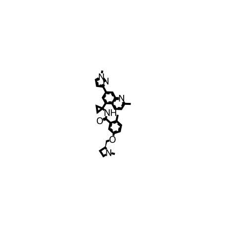 Cc1ccc2c(C3(NC(=O)c4cc(OC[C@@H]5CCN5C)ccc4C)CC3)cc(-c3ccn(C)n3)cc2n1